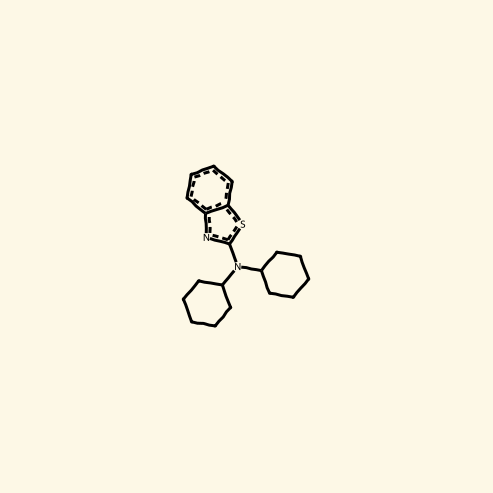 c1ccc2sc(N(C3CCCCC3)C3CCCCC3)nc2c1